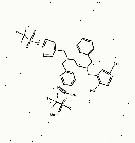 CC#N.O=S(=O)([O-])C(F)(F)F.O=S(=O)([O-])C(F)(F)F.Oc1ccc(O)c(CN(CCN(Cc2ccccn2)Cc2ccccn2)Cc2ccccn2)c1.[Mn+2]